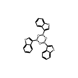 c1ccc2c(B3OB(c4csc5ccccc45)OB(c4csc5ccccc45)O3)csc2c1